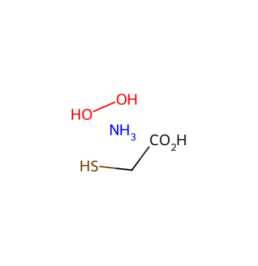 N.O=C(O)CS.OO